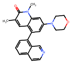 Cc1cc2c(-c3cccc4ccncc34)cc(N3CCOCC3)cc2n(C)c1=O